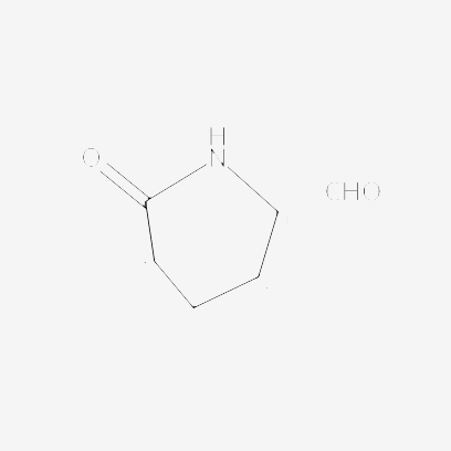 O=C[C@@H]1CCCC(=O)N1